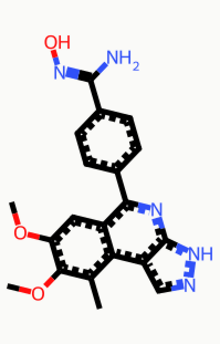 COc1cc2c(-c3ccc(C(N)=NO)cc3)nc3[nH]ncc3c2c(C)c1OC